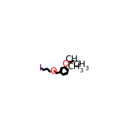 CCC(C)(C)Oc1cccc(COCCCI)c1